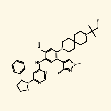 COc1cc(N2CCC3(CC2)CCN(C(C)(C)CF)CC3)c(-c2cn(C)nc2F)cc1Nc1cc(N2OCC[C@@H]2c2ccccc2)ncn1